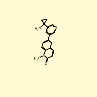 CN1C(=O)C=CC2CC(c3cncc(C4(N)CC4)c3)=CC=C21